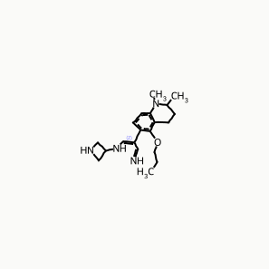 CCCOc1c(/C(C=N)=C/NC2CNC2)ccc2c1CCC(C)N2C